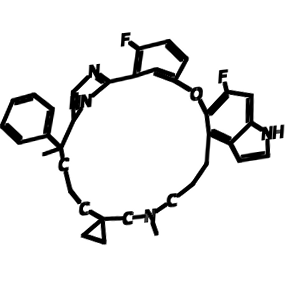 CN1CCCc2c(c(F)cc3[nH]ccc23)Oc2ccc(F)c(c2)-c2ncc([nH]2)C(C)(c2ccccc2)CCCC2(CC2)C1